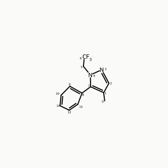 Cc1cnn(CC(F)(F)F)c1-c1ccccc1